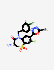 CC(C)(C)c1nnc(-c2cc3c(cc2F)S(=O)(=O)C[C@H](N)C(=O)N3Cc2ccc(Cl)c(F)c2)o1